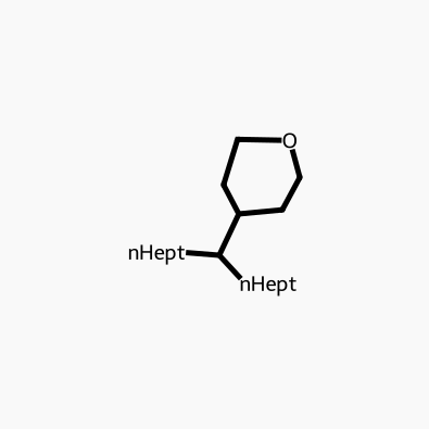 CCCCCCCC(CCCCCCC)C1CCOCC1